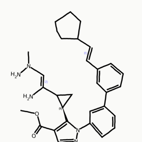 COC(=O)c1cnn(-c2cccc(-c3cccc(/C=C/C4CCCCC4)c3)c2)c1[C@@H]1CC1/C(N)=C/N(C)N